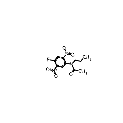 CCCN(C(C)=O)c1cc([N+](=O)[O-])c(F)cc1[N+](=O)[O-]